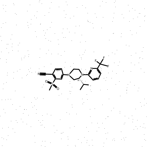 CC(C)[C@@H]1CN(c2ccc(C#N)c(S(C)(=O)=O)c2)CCN1c1cccc(C(F)(F)F)n1